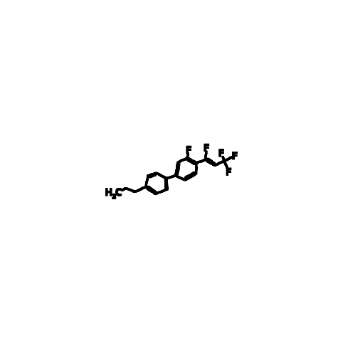 CCCc1ccc(-c2ccc(/C(F)=C/C(F)(F)F)c(F)c2)cc1